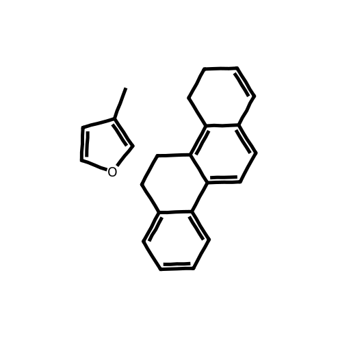 C1=Cc2ccc3c(c2CC1)CCc1ccccc1-3.Cc1ccoc1